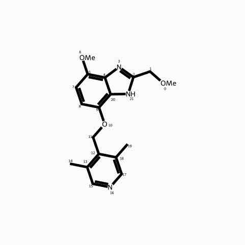 COCc1nc2c(OC)ccc(OCc3c(C)cncc3C)c2[nH]1